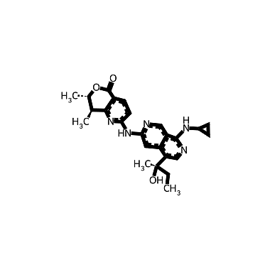 CC[C@@](C)(O)c1cnc(NC2CC2)c2cnc(Nc3ccc4c(n3)[C@@H](C)[C@H](C)OC4=O)cc12